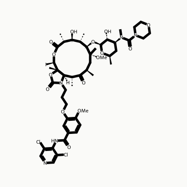 COc1ccc(C(=O)Nc2c(Cl)cncc2Cl)cc1OCCCN1C(=O)O[C@]2(C)[C@@H](I)OC(=O)[C@H](C)[C@@H](O)[C@H](C)[C@@H](O[C@@H]3O[C@H](C)C[C@H](N(C)C(=O)N4CCOCC4)[C@H]3O)[C@](C)(OC)C[C@@H](C)C(=O)[C@H](C)[C@@H]12